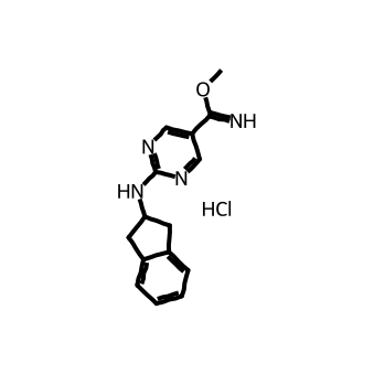 COC(=N)c1cnc(NC2Cc3ccccc3C2)nc1.Cl